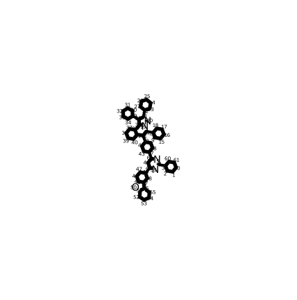 c1ccc(-c2nc(-c3ccc(-c4c(-c5ccccc5)n5nc(-c6ccccc6)c(-c6ccccc6)c5c5ccccc45)cc3)cc(-c3ccc4oc5ccccc5c4c3)n2)cc1